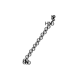 O=C(CCSSc1ccccn1)NCCOCCOCCOCCOCCOCCOCCOCCOCCOCCOCCOCCOCCC(=O)ON1C(=O)CCC1=O